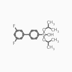 CC(C)O[Si](O)(OC(C)C)c1ccc(-c2cc(F)cc(F)c2)cc1